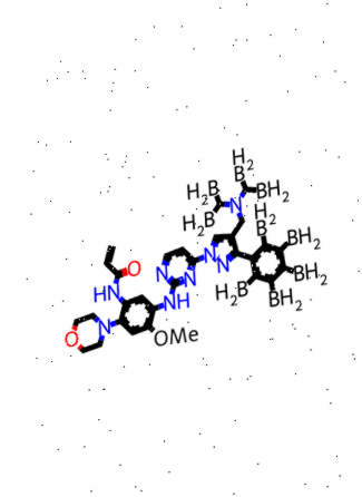 Bc1c(B)c(B)c(-c2nn(-c3ccnc(Nc4cc(NC(=O)C=C)c(N5CCOCC5)cc4OC)n3)cc2CN(C(B)B)C(B)B)c(B)c1B